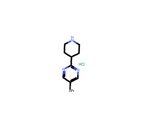 CCCc1cnc(C2CCNCC2)nc1.Cl